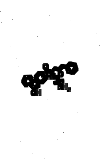 CC(C)(N)C(=O)N[C@H](CCCc1ccccc1)C(=O)N1CCC2(CC1)CC(O)c1ccccc12